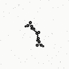 CC(C)(C)c1ccc(N(c2ccccc2)c2ccc3c(c2)C(C)(C)c2cc(/C=C/c4ccc(/C=C/c5ccc6c(c5)C(C)(C)c5cc(N(c7ccccc7)c7ccc(C(C)(C)C)cc7)ccc5-6)c5ccccc45)ccc2-3)cc1